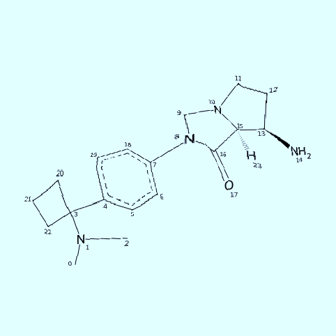 CN(C)C1(c2ccc(N3CN4CC[C@@H](N)[C@H]4C3=O)cc2)CCC1